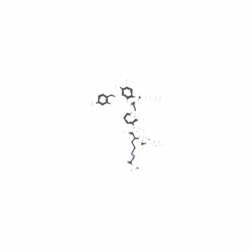 COC(=O)NC(CC/C=C/C(=O)N(C)C)C(=O)Nc1cccn(Cc2nc3c(OCc4ccc(F)cc4F)c(F)c(F)cc3n2C(=O)O)c1=O